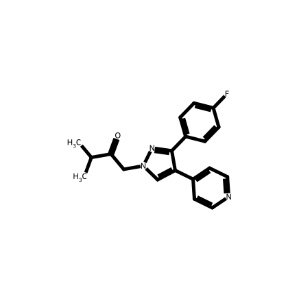 CC(C)C(=O)Cn1cc(-c2ccncc2)c(-c2ccc(F)cc2)n1